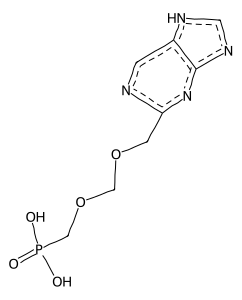 O=P(O)(O)COCOCc1ncc2[nH]cnc2n1